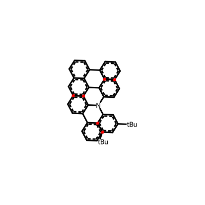 CC(C)(C)c1cc(N(c2ccccc2-c2ccccc2)c2ccccc2-c2cccc3cccc(-c4ccccc4)c23)cc(C(C)(C)C)c1